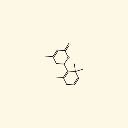 CC1=CC(=O)OC(C2=C(C)CC=CC2(C)C)C1